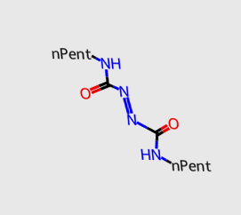 CCCCCNC(=O)N=NC(=O)NCCCCC